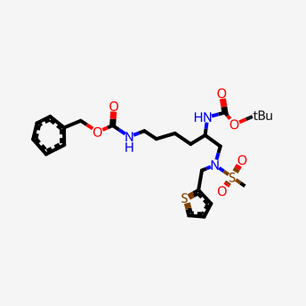 CC(C)(C)OC(=O)NC(CCCCNC(=O)OCc1ccccc1)CN(Cc1cccs1)S(C)(=O)=O